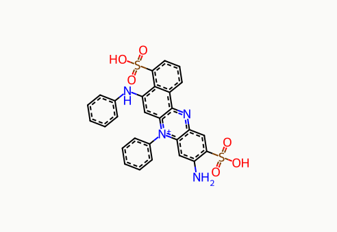 Nc1cc2c(cc1S(=O)(=O)O)nc1c3cccc(S(=O)(=O)O)c3c(Nc3ccccc3)cc1[n+]2-c1ccccc1